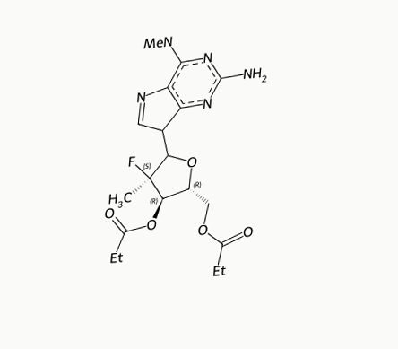 CCC(=O)OC[C@H]1OC(C2C=Nc3c(NC)nc(N)nc32)[C@](C)(F)[C@@H]1OC(=O)CC